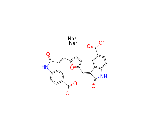 O=C1Nc2ccc(C(=O)[O-])cc2/C1=C\c1ccc(/C=C2/C(=O)Nc3ccc(C(=O)[O-])cc32)o1.[Na+].[Na+]